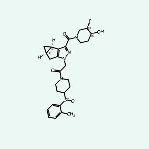 Cc1ccccc1[S+]([O-])C1CCN(C(=O)Cn2nc(C(=O)N3CC[C@H](O)[C@H](F)C3)c3c2C[C@H]2C[C@@H]32)CC1